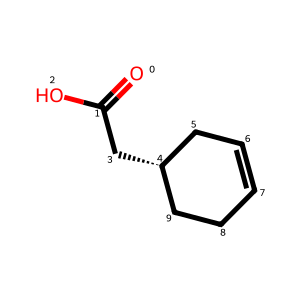 O=C(O)C[C@@H]1CC=CCC1